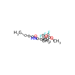 CCCCCC1CCC(c2ccc(-c3ccc(C(=O)Nc4ccc(-c5ccc6c(c5)-c5c(c7c(c8c(F)ccc(F)c58)OC(c5ccc(F)cc5)(c5ccc(OCCCC)cc5)C=C7)C6(C)C)cc4)cc3)cc2)CC1